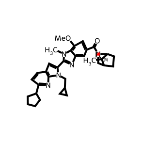 COc1cc(C(=O)N2CC3CCC2[C@@H]3C)cc2nc(-c3cc4ccc(C5CCCC5)nc4n3CC3CC3)n(C)c12